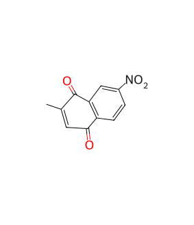 CC1=CC(=O)c2ccc([N+](=O)[O-])cc2C1=O